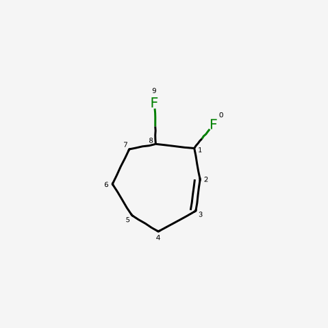 FC1C=CCCCCC1F